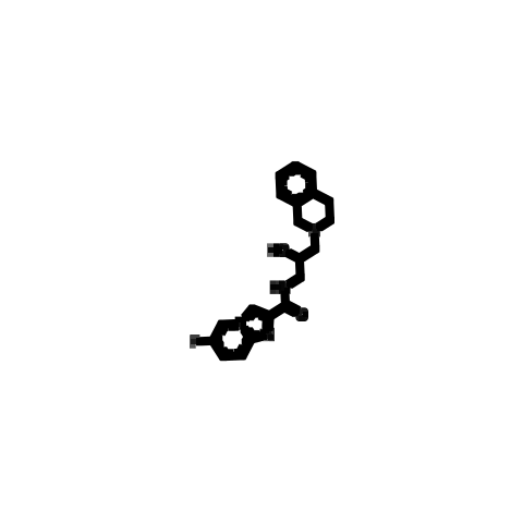 O=C(NCC(O)CN1CCc2ccccc2C1)c1cn2cc(F)ccc2n1